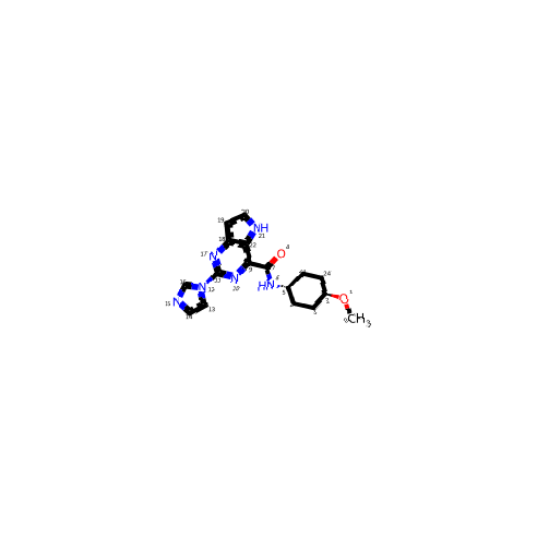 CO[C@H]1CC[C@H](NC(=O)c2nc(-n3ccnc3)nc3cc[nH]c23)CC1